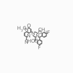 COc1cc(F)ccc1C(c1ccc(F)cc1)N1CCN(c2cc(=O)n(C)c3ccc(C#N)nc23)CC1C(=O)O